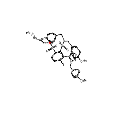 COc1ccc(CN(Cc2ccc(OC)cc2)S(=O)(=O)c2c(S(=O)(=O)NCCNC(=O)O)ccc(I)c2-c2nnnn2Cc2ccc(OC)cc2)cc1